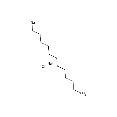 CCCCCCCCCCC[CH2][Na].[Cl-].[Na+]